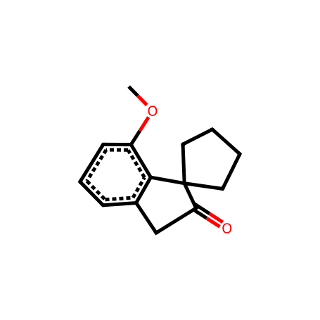 COc1cccc2c1C1(CCCC1)C(=O)C2